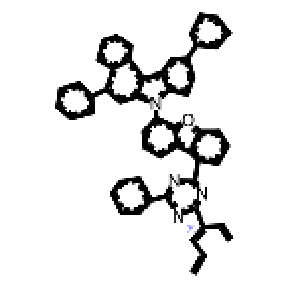 C=C/C=C(\C=C)c1nc(-c2ccccc2)nc(-c2cccc3oc4c(-n5c6ccc(-c7ccccc7)cc6c6c7ccccc7c(-c7ccccc7)cc65)cccc4c23)n1